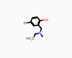 CCc1ccc(O)c(CN(C)CC(=O)O)c1